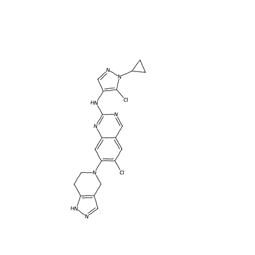 Clc1cc2cnc(Nc3cnn(C4CC4)c3Cl)nc2cc1N1CCc2[nH]ncc2C1